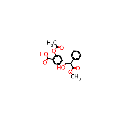 CC(=O)Oc1ccccc1C(=O)O.COC(=O)C(CO)c1ccccc1